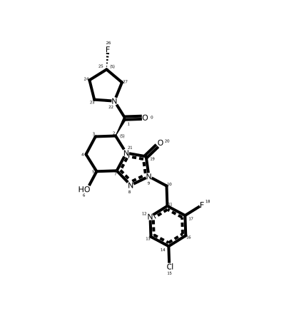 O=C([C@@H]1CCC(O)c2nn(Cc3ncc(Cl)cc3F)c(=O)n21)N1CC[C@H](F)C1